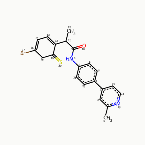 Cc1cc(-c2ccc(NC(=O)C(C)C3=CC=C(Br)CC3=S)cc2)ccn1